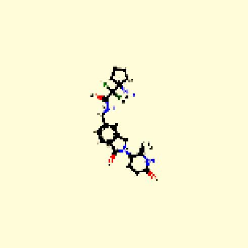 C=C1NC(=O)CCC1N1Cc2cc(CNC(=O)C(F)(F)C3(N)CCCC3)ccc2C1=O